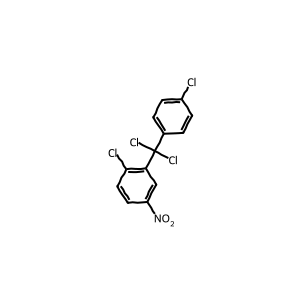 O=[N+]([O-])c1ccc(Cl)c(C(Cl)(Cl)c2ccc(Cl)cc2)c1